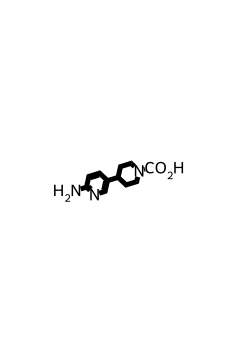 Nc1ccc(C2CCN(C(=O)O)CC2)cn1